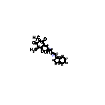 CN1C(=O)C(=C/C(O)=C/C=C/N2CCc3ccccc32)C(=O)N(C)C1=O